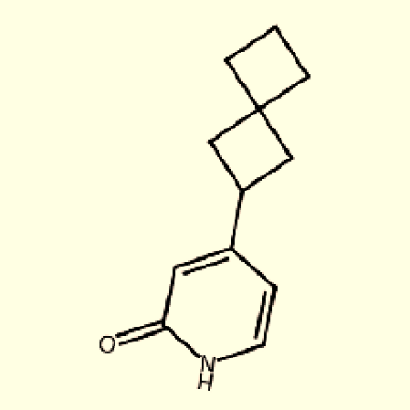 O=c1cc(C2CC3(CCC3)C2)cc[nH]1